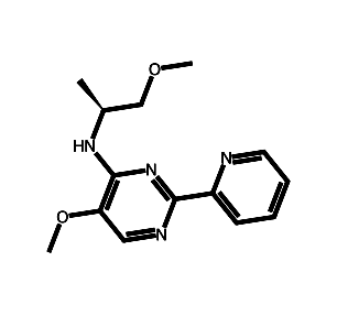 COC[C@H](C)Nc1nc(-c2ccccn2)ncc1OC